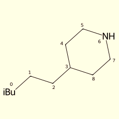 CCC(C)CCC1CCNCC1